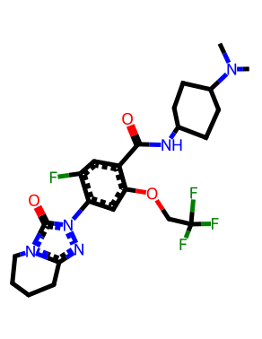 CN(C)C1CCC(NC(=O)c2cc(F)c(-n3nc4n(c3=O)CCCC4)cc2OCC(F)(F)F)CC1